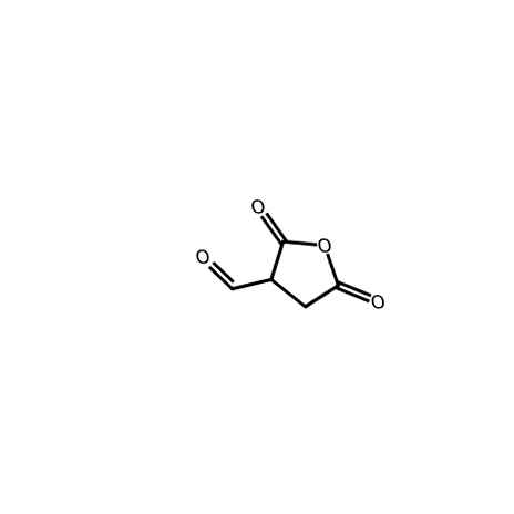 O=CC1CC(=O)OC1=O